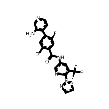 Nc1cnccc1-c1cc(Cl)c(C(=O)Nc2cnc(-n3nccn3)c(C(F)(F)F)c2)cc1F